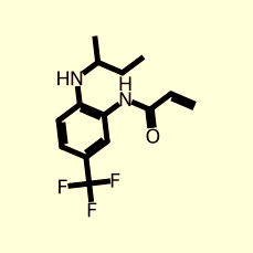 C=CC(=O)Nc1cc(C(F)(F)F)ccc1NC(C)CC